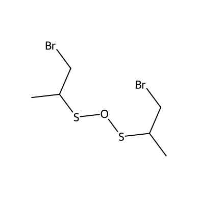 CC(CBr)SOSC(C)CBr